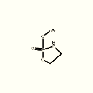 CCCOP1(=O)OCCP1